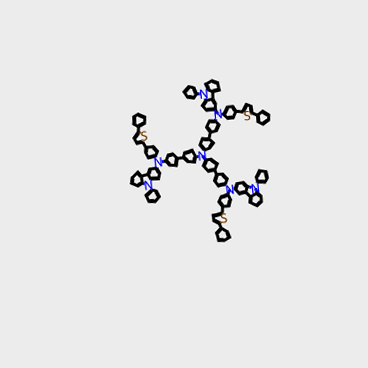 c1ccc(-c2ccc(-c3ccc(N(c4ccc(-c5ccc(N(c6ccc(-c7ccc(N(c8ccc(-c9ccc(-c%10ccccc%10)s9)cc8)c8ccc9c(c8)c8ccccc8n9-c8ccccc8)cc7)cc6)c6ccc(-c7ccc(N(c8ccc(-c9ccc(-c%10ccccc%10)s9)cc8)c8ccc9c(c8)c8ccccc8n9-c8ccccc8)cc7)cc6)cc5)cc4)c4ccc5c(c4)c4ccccc4n5-c4ccccc4)cc3)s2)cc1